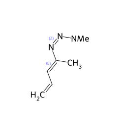 C=C/C=C(C)/N=N\NC